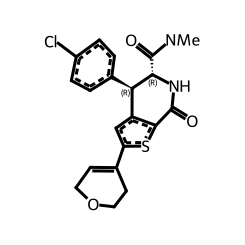 CNC(=O)[C@@H]1NC(=O)c2sc(C3=CCOCC3)cc2[C@H]1c1ccc(Cl)cc1